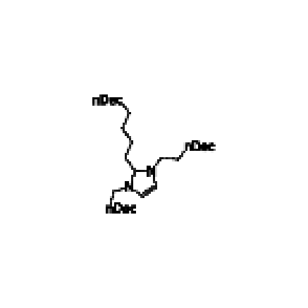 CCCCCCCCCCCCCCC1N(CCCCCCCCCCC)C=CN1CCCCCCCCCCCC